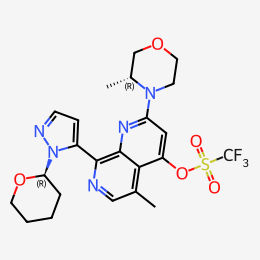 Cc1cnc(-c2ccnn2[C@H]2CCCCO2)c2nc(N3CCOC[C@H]3C)cc(OS(=O)(=O)C(F)(F)F)c12